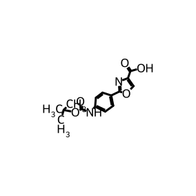 CC(C)(C)OC(=O)Nc1ccc(-c2nc(C(=O)O)co2)cc1